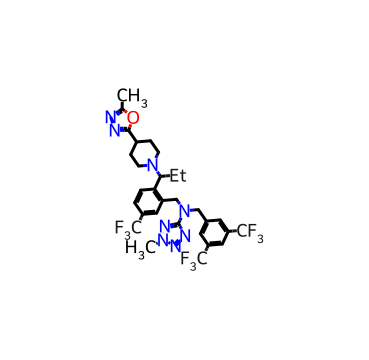 CCC(c1ccc(C(F)(F)F)cc1CN(Cc1cc(C(F)(F)F)cc(C(F)(F)F)c1)c1nnn(C)n1)N1CCC(c2nnc(C)o2)CC1